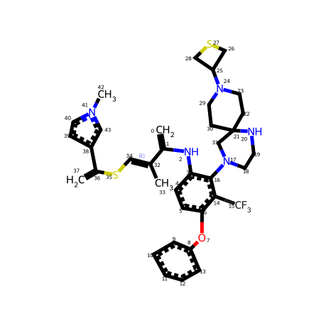 C=C(Nc1ccc(Oc2ccccc2)c(C(F)(F)F)c1N1CCNC2(CCN(C3CSC3)CC2)C1)/C(C)=C/SC(=C)c1ccn(C)c1